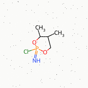 CC1COP(=N)(Cl)OC1C